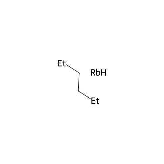 [CH2]CCCCC.[RbH]